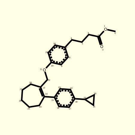 COC(=O)CCCc1ccc(OCC2=C(c3ccc(C4CC4)cc3)CCCCC2)cc1